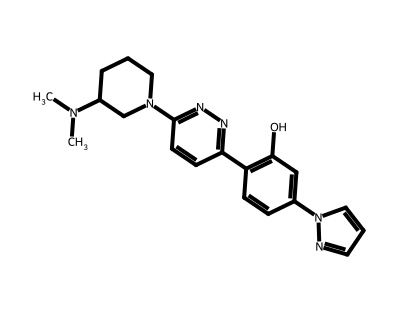 CN(C)C1CCCN(c2ccc(-c3ccc(-n4cccn4)cc3O)nn2)C1